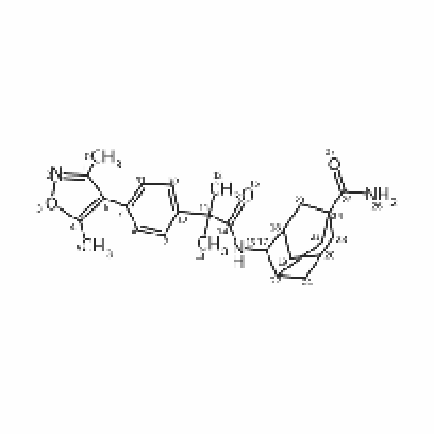 Cc1noc(C)c1-c1ccc(C(C)(C)C(=O)NC2C3CC4CC2CC(C(N)=O)(C4)C3)cc1